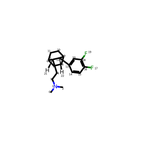 CN(C)CC[C@@H]1C2CCC(CC2)[C@@H]1c1ccc(F)c(F)c1